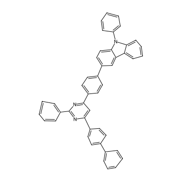 c1ccc(-c2ccc(-c3cc(-c4ccc(-c5ccc6c(c5)c5ccccc5n6-c5ccccc5)cc4)nc(-c4ccccc4)n3)cc2)cc1